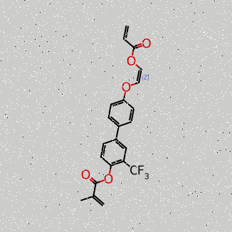 C=CC(=O)O/C=C\Oc1ccc(-c2ccc(OC(=O)C(=C)C)c(C(F)(F)F)c2)cc1